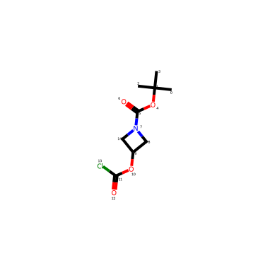 CC(C)(C)OC(=O)N1CC(OC(=O)Cl)C1